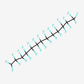 FC(F)C(F)(F)C(F)(F)C(F)(F)C(F)(F)C(F)(F)C(F)(F)C(F)(F)C(F)(F)C(F)(F)C(F)(F)C(F)(F)C(F)(F)F